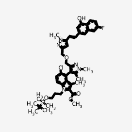 COC(=O)c1c(C)c2c(-c3c(COCc4cc(/C=C/c5cc(O)c6ccc(F)cc6c5)n(C)n4)nn(C)c3C)c(Cl)ccc2n1CCCO[Si](C)(C)C(C)(C)C